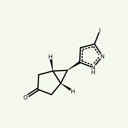 O=C1C[C@@H]2[C@H](C1)[C@H]2c1cc(I)n[nH]1